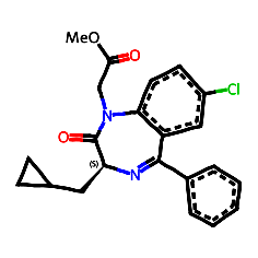 COC(=O)CN1C(=O)[C@H](CC2CC2)N=C(c2ccccc2)c2cc(Cl)ccc21